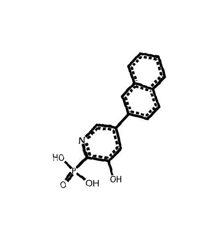 O=P(O)(O)c1ncc(-c2ccc3ccccc3c2)cc1O